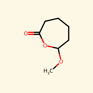 COC1CCCCC(=O)O1